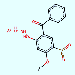 COc1cc(O)c(C(=O)c2ccccc2)cc1[SH](=O)=O.O.O.O